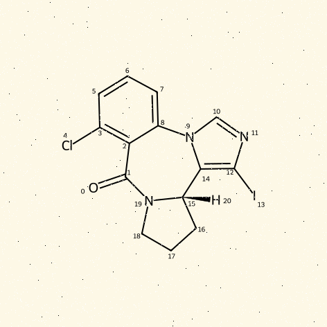 O=C1c2c(Cl)cccc2-n2cnc(I)c2[C@@H]2CCCN12